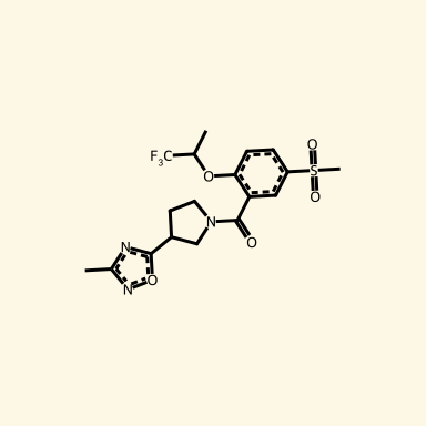 Cc1noc(C2CCN(C(=O)c3cc(S(C)(=O)=O)ccc3OC(C)C(F)(F)F)C2)n1